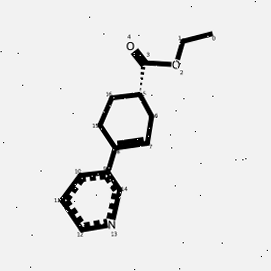 CCOC(=O)[C@@H]1CC=C(c2cccnc2)CC1